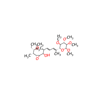 CC[C@H](OC)[C@@H](C)[C@H]1O[C@@H]1[C@H](O)[C@@H](C)/C=C/C=C(\C)[C@H]1O[C@H](OC)[C@H](OC)[C@@H](OC)[C@@H]1OC